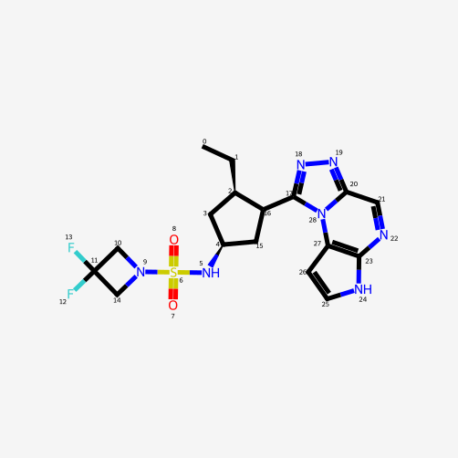 CC[C@@H]1C[C@H](NS(=O)(=O)N2CC(F)(F)C2)CC1c1nnc2cnc3[nH]ccc3n12